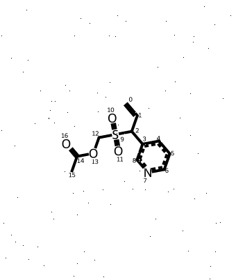 C=CC(c1cccnc1)S(=O)(=O)COC(C)=O